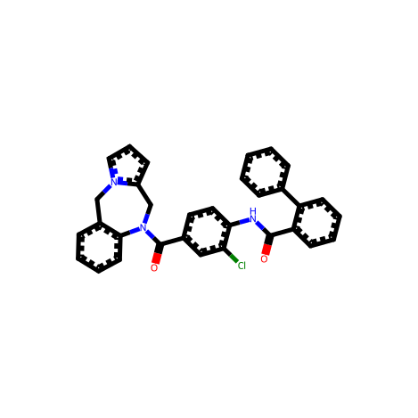 O=C(Nc1ccc(C(=O)N2Cc3cccn3Cc3ccccc32)cc1Cl)c1ccccc1-c1ccccc1